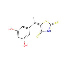 C/C(=C1\SC(=S)NC1=S)c1cc(O)cc(O)c1